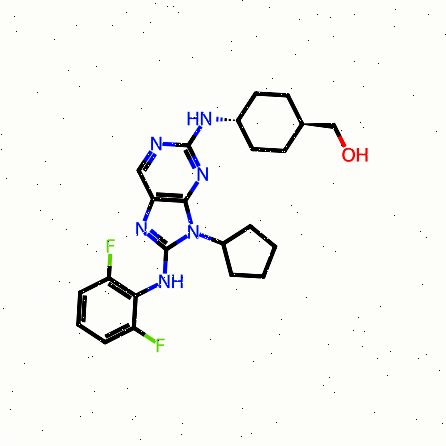 OC[C@H]1CC[C@H](Nc2ncc3nc(Nc4c(F)cccc4F)n(C4CCCC4)c3n2)CC1